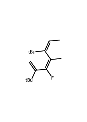 C=C(/C(F)=C(C)\C(=C/C)C(C)(C)C)C(C)(C)C